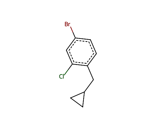 Clc1cc(Br)ccc1CC1CC1